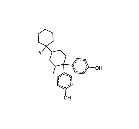 CC1CC(C2(C(C)C)CCCCC2)CCC1(c1ccc(O)cc1)c1ccc(O)cc1